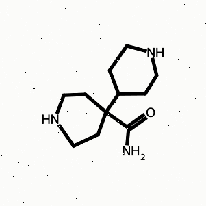 NC(=O)C1(C2CCNCC2)CCNCC1